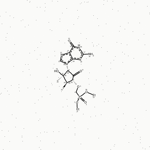 CCOP(=O)(CO[C@H]1C(=O)[C@@H](n2cnc3c(=O)[nH]c(N)nc32)[C@](C)(O)[C@@H]1I)OCC